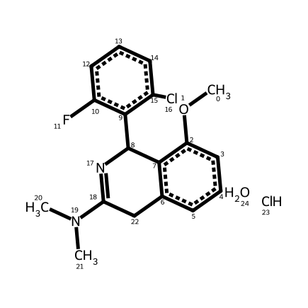 COc1cccc2c1C(c1c(F)cccc1Cl)N=C(N(C)C)C2.Cl.O